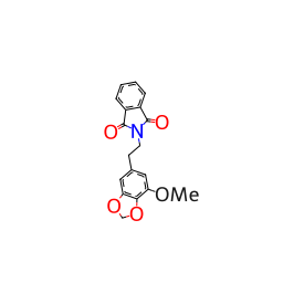 COc1cc(CCN2C(=O)c3ccccc3C2=O)cc2c1OCO2